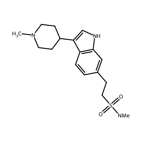 CNS(=O)(=O)CCc1ccc2c(C3CCN(C)CC3)c[nH]c2c1